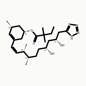 CCC(C)(C)C(=O)O[C@@H]1CC(/C=C\[C@H](C)[C@@H](C)CC[C@@H](O)C[C@@H](O)Cc2nnn[nH]2)=C[C@H](C)C1